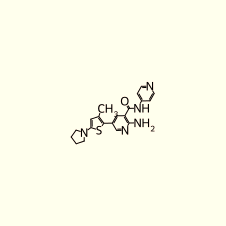 Cc1cc(N2CCCC2)sc1-c1cnc(N)c(C(=O)Nc2ccncc2)c1